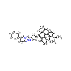 C=Cc1cccc(-c2c(C=C)c(C=C)c(-c3ccc(C4CN5C=C(C6CCCCC6)C=CC5N4)cc3)c3ccccc23)c1C=C